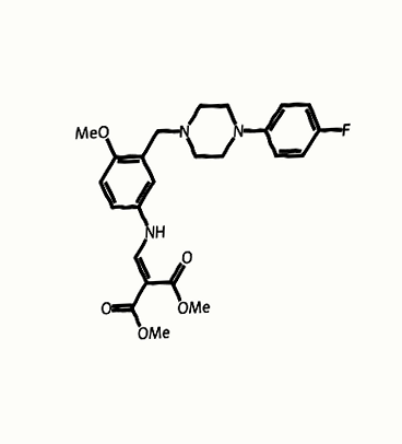 COC(=O)C(=CNc1ccc(OC)c(CN2CCN(c3ccc(F)cc3)CC2)c1)C(=O)OC